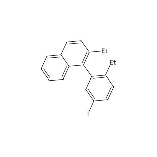 CCc1ccc(I)cc1-c1c(CC)ccc2ccccc12